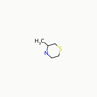 CC1CSCC[N]1